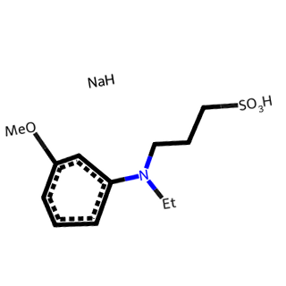 CCN(CCCS(=O)(=O)O)c1cccc(OC)c1.[NaH]